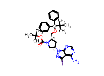 CC(C)(C)OC(=O)N1C[C@@H](n2nc(I)c3c(N)ncnc32)C[C@H]1CO[Si](c1ccccc1)(c1ccccc1)C(C)(C)C